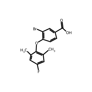 Cc1cc(F)cc(C)c1Oc1ccc(C(=O)O)cc1Br